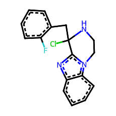 Fc1ccccc1CC1(Cl)NCCn2c1nc1ccccc12